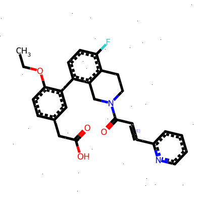 CCOc1ccc(CC(=O)O)cc1-c1ccc(F)c2c1CN(C(=O)/C=C/c1ccccn1)CC2